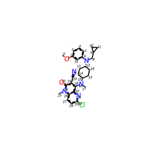 COc1cccc(N(CC2CC2)[C@H]2CC[C@H](N(C)c3c(C#N)c(=O)n(C)c4ccc(Cl)nc34)CC2)c1